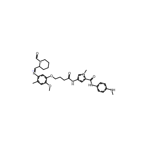 CNc1ccc(NC(=O)c2cc(NC(=O)CCCOc3cc(/N=C\C4CCCCN4C=O)c(C)cc3OC)cn2C)cc1